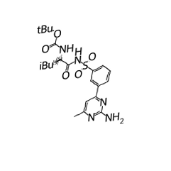 CC[C@H](C)[C@H](NC(=O)OC(C)(C)C)C(=O)NS(=O)(=O)c1cccc(-c2cc(C)nc(N)n2)c1